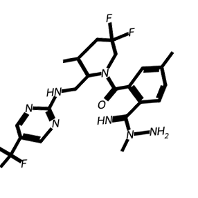 Cc1ccc(C(=N)N(C)N)c(C(=O)N2CC(F)(F)CC(C)C2CNc2ncc(C(F)(F)F)cn2)c1